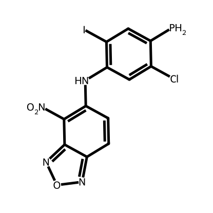 O=[N+]([O-])c1c(Nc2cc(Cl)c(P)cc2I)ccc2nonc12